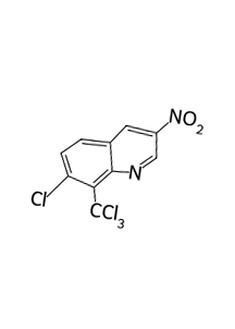 O=[N+]([O-])c1cnc2c(C(Cl)(Cl)Cl)c(Cl)ccc2c1